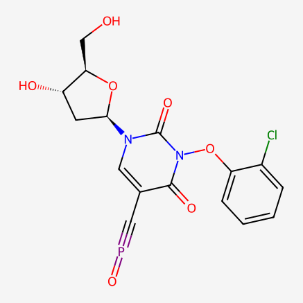 O=P#Cc1cn([C@H]2C[C@H](O)[C@@H](CO)O2)c(=O)n(Oc2ccccc2Cl)c1=O